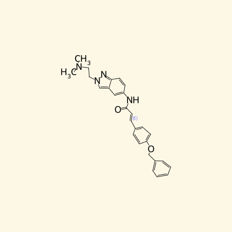 CN(C)CCn1cc2cc(NC(=O)/C=C/c3ccc(OCc4ccccc4)cc3)ccc2n1